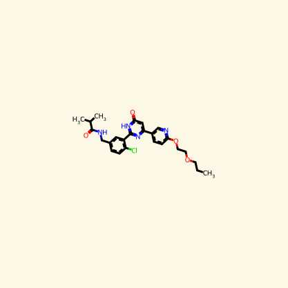 CCCOCCOc1ccc(-c2cc(=O)[nH]c(-c3cc(CNC(=O)C(C)C)ccc3Cl)n2)cn1